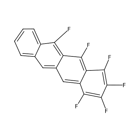 Fc1c(F)c(F)c2c(F)c3c(F)c4ccccc4cc3cc2c1F